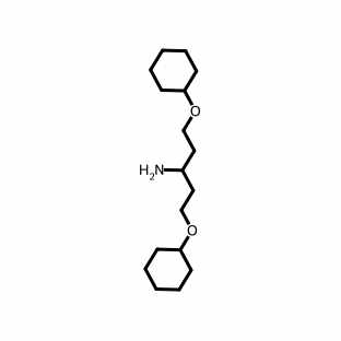 NC(CCOC1CCCCC1)CCOC1CCCCC1